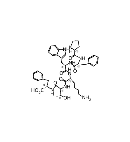 C[C@@H](O)[C@H](NC(=O)[C@H](CCCCN)NC(=O)[C@@H](Cc1c[nH]c2ccccc12)NC(=O)[C@H](Cc1ccccc1)NC(=O)[C@@H]1CCCN1)C(=O)N[C@@H](Cc1ccccc1)C(=O)O